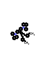 C=Cc1cccc(CCCCC2(CCCCc3cccc(C=C)c3)c3cc(N(c4ccccc4)c4cccc5ccccc45)ccc3-c3ccc(N(c4ccccc4)c4cccc5ccccc45)cc32)c1